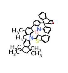 Cc1cc2c3c(c1)N(c1cc4c(cc1C)C(C)(C)CCC4(C)C)c1sc4ccccc4c1B3N1c3ccccc3C3(c4ccccc4-c4ccccc43)c3cccc-2c31